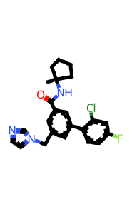 CC1(NC(=O)c2cc(Cn3ccnc3)cc(-c3ccc(F)cc3Cl)c2)CCCC1